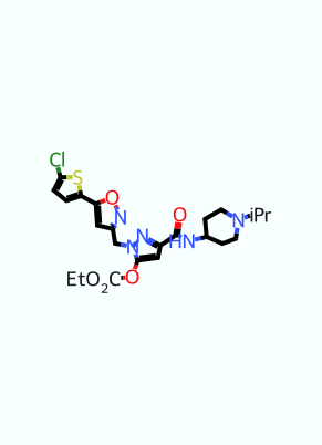 CCOC(=O)Oc1cc(C(=O)NC2CCN(C(C)C)CC2)nn1Cc1cc(-c2ccc(Cl)s2)on1